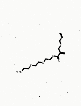 C=CCOCC(=C)C(=O)OCCOCCOCCOC